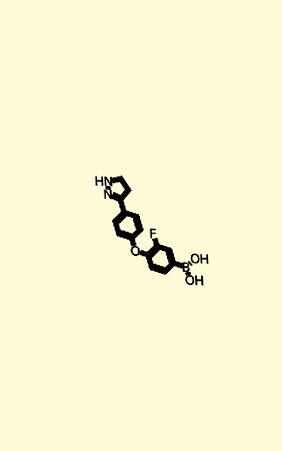 OB(O)c1ccc(Oc2ccc(C3=NNCC3)cc2)c(F)c1